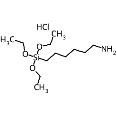 CCO[Si](CCCCCCN)(OCC)OCC.Cl